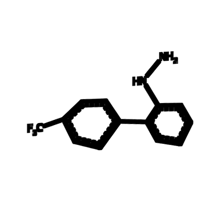 NNc1ccccc1-c1ccc(C(F)(F)F)cc1